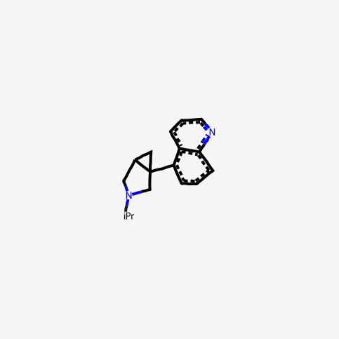 CC(C)N1CC2CC2(c2cccc3ncccc23)C1